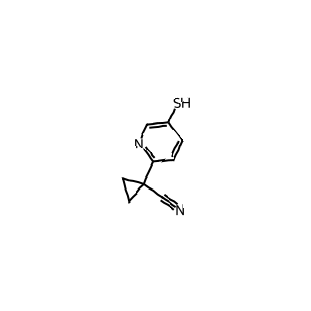 N#CC1(c2ccc(S)cn2)CC1